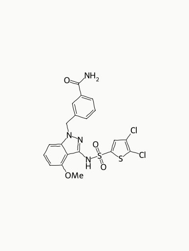 COc1cccc2c1c(NS(=O)(=O)c1cc(Cl)c(Cl)s1)nn2Cc1cccc(C(N)=O)c1